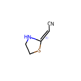 N#C/C=C1\NCCS1